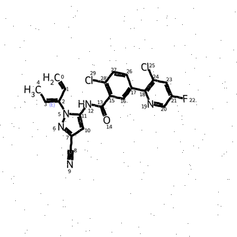 C=C/C(=C\C)n1nc(C#N)cc1NC(=O)c1cc(-c2ncc(F)cc2Cl)ccc1Cl